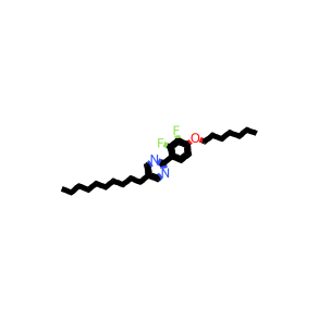 CCCCCCCCCCc1cnc(-c2ccc(OCCCCCCC)c(F)c2F)nc1